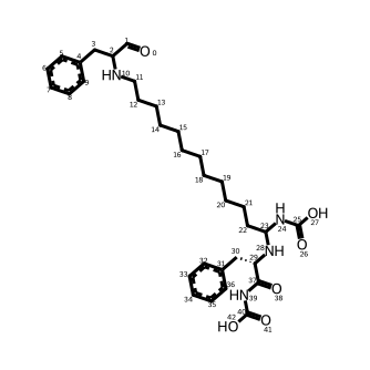 O=CC(Cc1ccccc1)NCCCCCCCCCCCCC(NC(=O)O)N[C@@H](Cc1ccccc1)C(=O)NC(=O)O